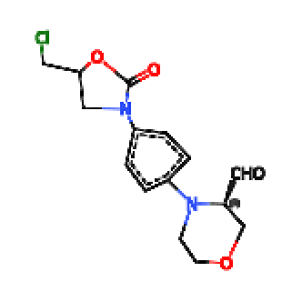 O=C[C@H]1COCCN1c1ccc(N2CC(CCl)OC2=O)cc1